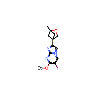 CCOc1nc2nc(C34COC(C)(C3)C4)cn2cc1I